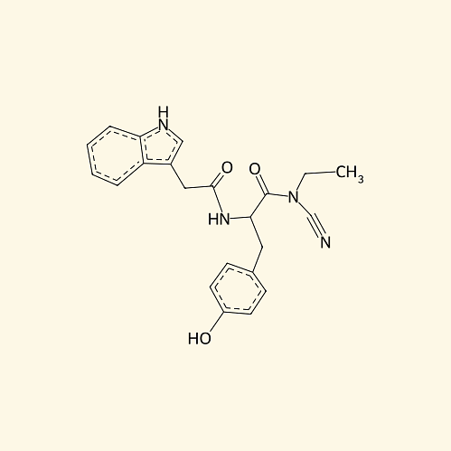 CCN(C#N)C(=O)C(Cc1ccc(O)cc1)NC(=O)Cc1c[nH]c2ccccc12